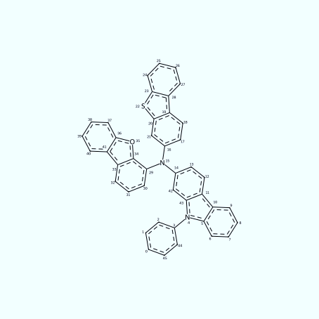 c1ccc(-n2c3ccccc3c3ccc(N(c4ccc5c(c4)sc4ccccc45)c4cccc5c4oc4ccccc45)cc32)cc1